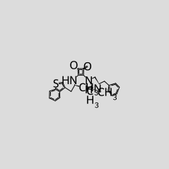 C[C@@H](Cc1csc2ccccc12)Nc1c(NC[C@@H](Cc2ccccc2)N(C)C)c(=O)c1=O